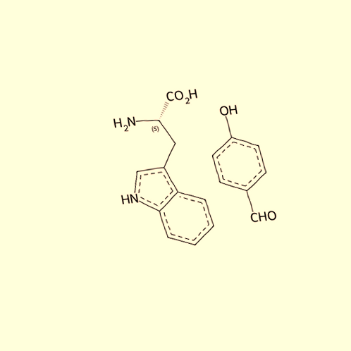 N[C@@H](Cc1c[nH]c2ccccc12)C(=O)O.O=Cc1ccc(O)cc1